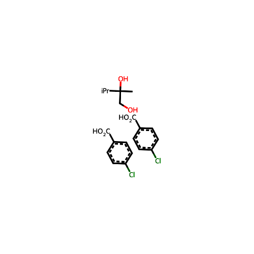 CC(C)C(C)(O)CO.O=C(O)c1ccc(Cl)cc1.O=C(O)c1ccc(Cl)cc1